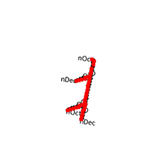 CCCCCCCC/C=C\CCCCCCCC(=O)OCC(CCCCCCCC/C=C/CCCCCCCC(=O)OC(COC(=O)CCCCCCC/C=C\CCCCCCCC)COC(=O)CCCCCCCCCCCCCCCCC)COC(=O)CCCCCCCCCCCCCCCCC